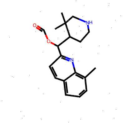 Cc1cccc2ccc(C(OC=O)C3CCNCC3(C)C)nc12